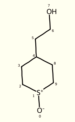 [O-][S+]1CCC(CCO)CC1